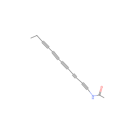 CCC#CC#CC#CC#CC#CNC(C)=O